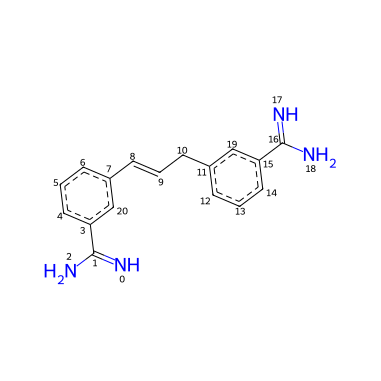 N=C(N)c1cccc(C=CCc2cccc(C(=N)N)c2)c1